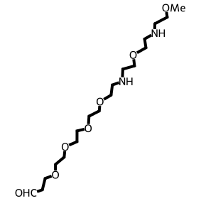 COCCNCCOCCNCCOCCOCCOCCOCCC=O